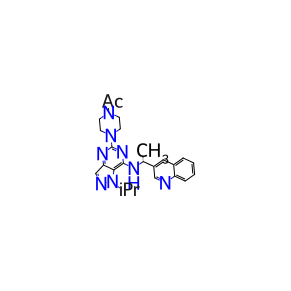 CC(=O)N1CCN(c2nc(N[C@H](C)c3cnc4ccccc4c3)c3c(cnn3C(C)C)n2)CC1